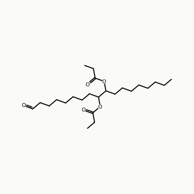 CCCCCCCCC(OC(=O)CC)C(CCCCCCCC=O)OC(=O)CC